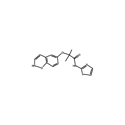 CC(C)(Oc1ccc2c(c1)C=CNO2)C(=O)Nc1nccs1